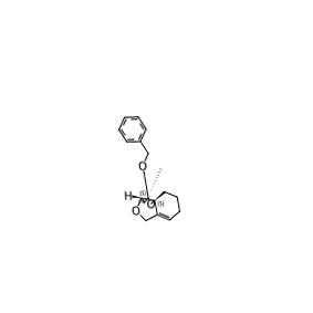 C[C@@]1(OCc2ccccc2)C[C@@H]2OCC3=CCCC[C@]32O1